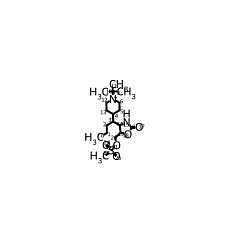 CCCC(C1CCN(C(C)(C)C)CC1)C1NC(=O)OC1COS(C)(=O)=O